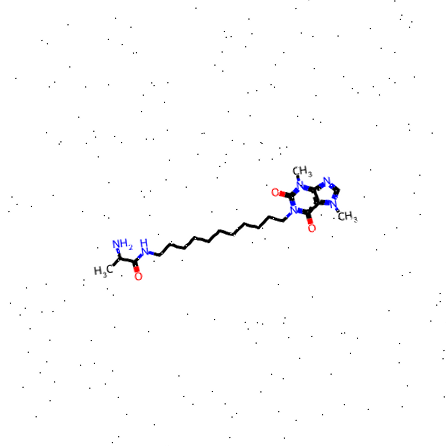 CC(N)C(=O)NCCCCCCCCCCCn1c(=O)c2c(ncn2C)n(C)c1=O